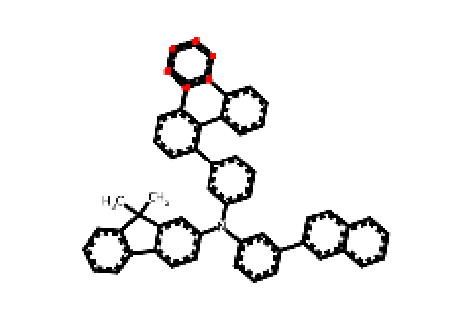 CC1(C)c2ccccc2-c2ccc(N(c3cccc(-c4ccc5ccccc5c4)c3)c3cccc(-c4cccc(-c5ccccc5)c4-c4ccccc4-c4ccccc4)c3)cc21